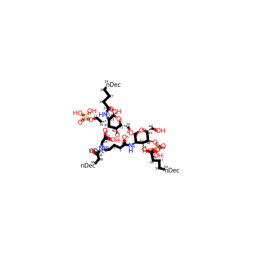 CCCCCCCCCCCCCC(=O)N[C@H]1[C@H](OC[C@H]2O[C@H](O)[C@](CCOP(=O)(O)O)(NC(=O)CCCCCCCCCCCCC)[C@@H](OC(=O)CNC(=O)CCCCCCCCCCC)[C@@H]2O)O[C@H](CO)[C@@H](OP(=O)(O)O)[C@@H]1OC(=O)CCCCCCCCCCCCC